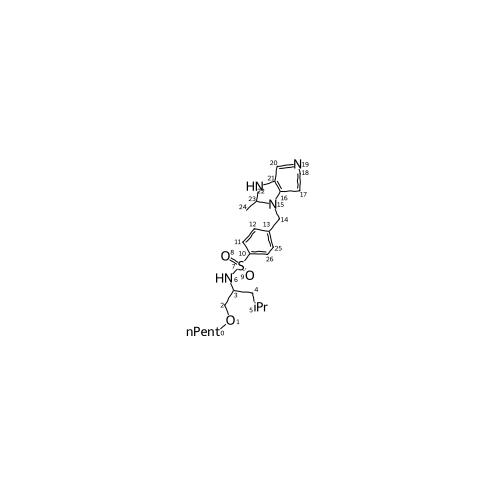 CCCCCOCC(CC(C)C)NS(=O)(=O)c1ccc(CN2c3ccncc3NC2C)cc1